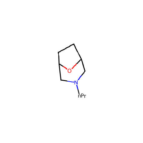 CCCN1CC2CCC(C1)O2